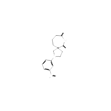 O=C1CCCC2(CCN(c3cccc([N+](=O)[O-])c3)C2)C(=O)N1